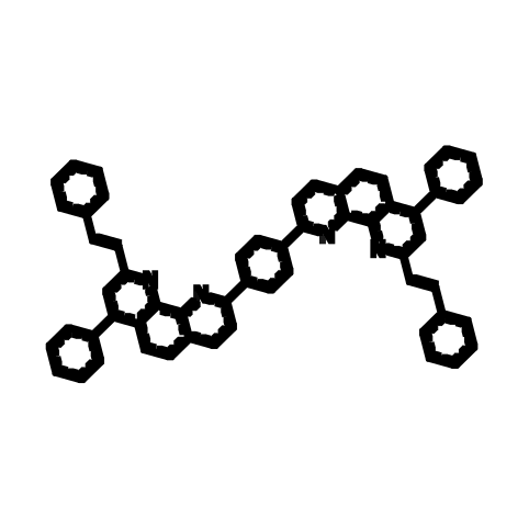 C(=C\c1cc(-c2ccccc2)c2ccc3ccc(-c4ccc(-c5ccc6ccc7c(-c8ccccc8)cc(/C=C/c8ccccc8)nc7c6n5)cc4)nc3c2n1)/c1ccccc1